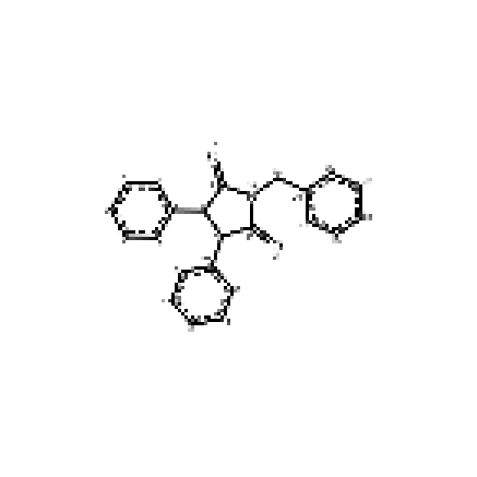 O=C1C(c2ccccc2)C(c2ccccc2)C(=O)N1Cc1ccccc1